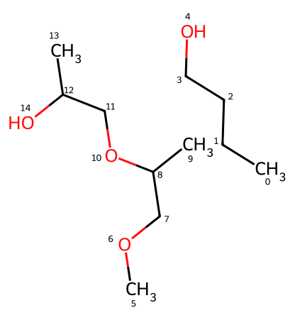 CCCCO.COCC(C)OCC(C)O